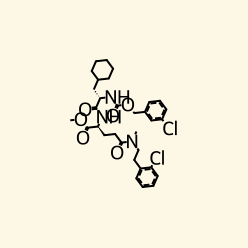 COC(=O)[C@H](CCC(=O)N(C)CCc1ccccc1Cl)NC(=O)[C@H](CC1CCCCC1)NC(=O)OCc1cccc(Cl)c1